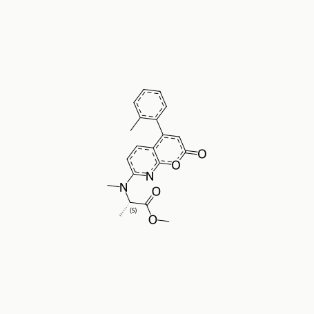 COC(=O)[C@H](C)N(C)c1ccc2c(-c3ccccc3C)cc(=O)oc2n1